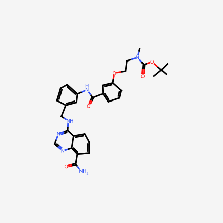 CN(CCOc1cccc(C(=O)Nc2cccc(CNc3ncnc4c(C(N)=O)cccc34)c2)c1)C(=O)OC(C)(C)C